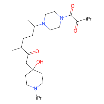 CC(C)C(=O)C(=O)N1CCN(C(C)CCC(C)C(=O)CC2(O)CCN(C(C)C)CC2)CC1